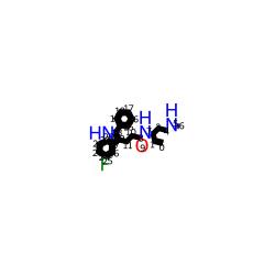 C=CC(CCNC)NC(=O)CCc1c(-c2ccccc2)[nH]c2ccc(F)cc12